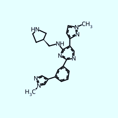 Cn1cc(-c2cccc(-c3ncc(-c4ccn(C)n4)c(NC[C@H]4CCNC4)n3)c2)cn1